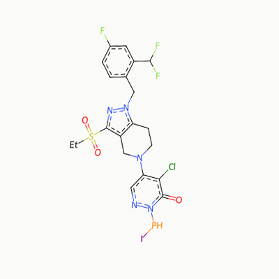 CCS(=O)(=O)c1nn(Cc2ccc(F)cc2C(F)F)c2c1CN(c1cnn(PI)c(=O)c1Cl)CC2